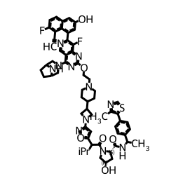 C#Cc1c(F)ccc2cc(O)cc(-c3ncc4c(N5CC6CCC(C5)N6)nc(OCCN5CCC(C6CN(c7cc(C(C(=O)N8C[C@H](O)C[C@H]8C(=O)NC(C)c8ccc(-c9scnc9C)cc8)C(C)C)on7)C6)CC5)nc4c3F)c12